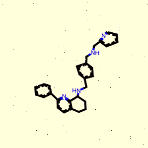 c1ccc(-c2ccc3c(n2)C(NCc2ccc(CNCc4ccccn4)cc2)CCC3)cc1